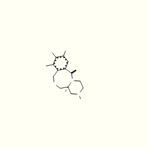 Cc1c(Br)c(Cl)cc2c1COC[C@H]1CN(C(=O)O)CCN1C2=O